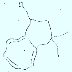 CC1(C)CC(Cl)c2ccccc21